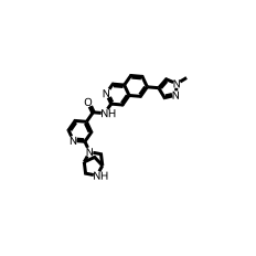 Cn1cc(-c2ccc3cnc(NC(=O)c4ccnc(N5CC6CC5CN6)c4)cc3c2)cn1